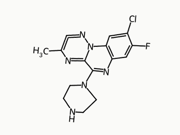 CC1=C=NN2C(=N1)C(N1CCNCC1)=Nc1cc(F)c(Cl)cc12